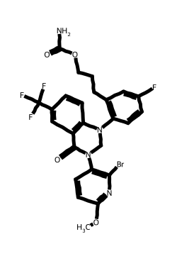 COc1ccc(N2CN(c3ccc(F)cc3CCCOC(N)=O)c3ccc(C(F)(F)F)cc3C2=O)c(Br)n1